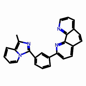 Cc1nc(-c2cccc(-c3ccc4ccc5cccnc5c4n3)c2)n2ccccc12